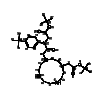 CC(C)(C)OC(=O)CN1CCNCCNCCN(CC(=O)N(CC(=O)OC(C)(C)C)c2ccc(C(C)(C)C)cc2)CC1